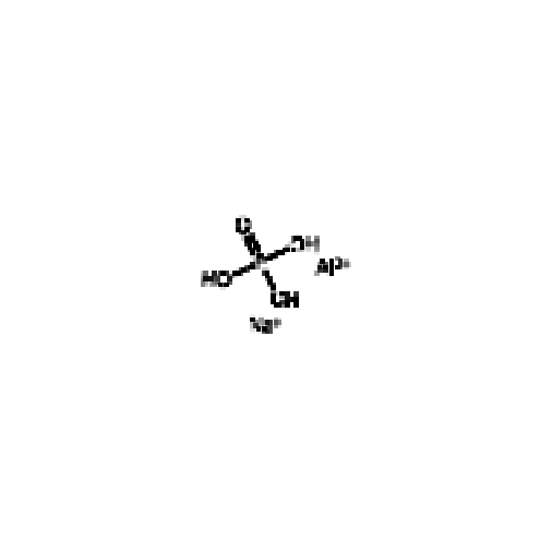 O=P(O)(O)O.[Al+3].[Na+]